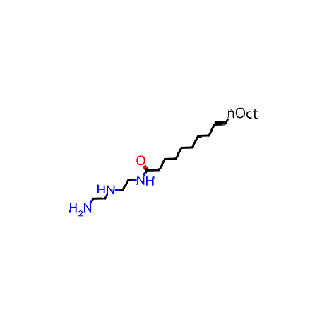 CCCCCCCCC=CCCCCCCCC(=O)NCCNCCN